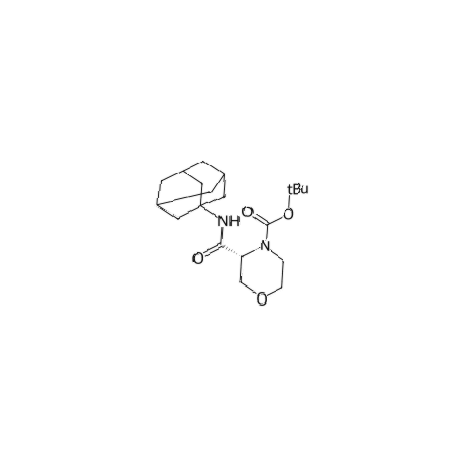 CC(C)(C)OC(=O)N1CCOC[C@@H]1C(=O)NC12CC3CC(CC(C3)C1)C2